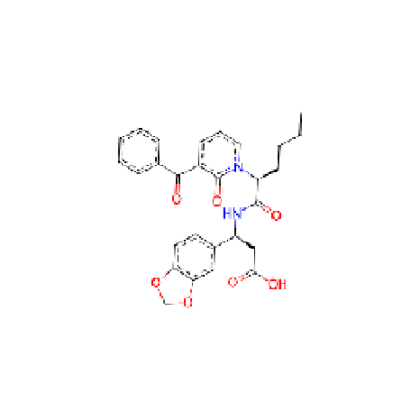 CCCC[C@@H](C(=O)N[C@@H](CC(=O)O)c1ccc2c(c1)OCO2)n1cccc(C(=O)c2ccccc2)c1=O